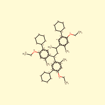 CCOc1cc(C)c(C(C)CC(c2cc(C3CCCCC3)c(OCC)cc2C)c2cc(C3CCCCC3)c(OCC)cc2C)cc1C1CCCCC1